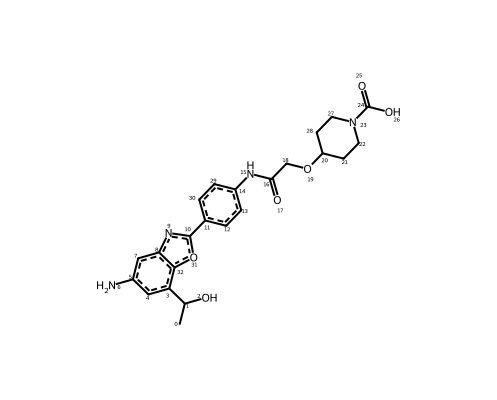 CC(O)c1cc(N)cc2nc(-c3ccc(NC(=O)COC4CCN(C(=O)O)CC4)cc3)oc12